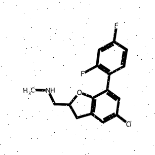 CNCC1Cc2cc(Cl)cc(-c3ccc(F)cc3F)c2O1